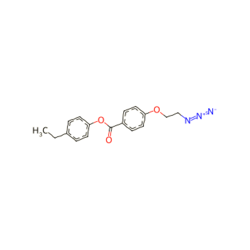 CCc1ccc(OC(=O)c2ccc(OCCN=[N+]=[N-])cc2)cc1